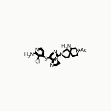 CC(=O)N1CCC2(CCN(c3ncc(Sc4ccnc(N)c4Cl)c4nccn34)CC2)C(N)C1